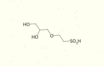 O=S(=O)(O)CCOCC(O)CO